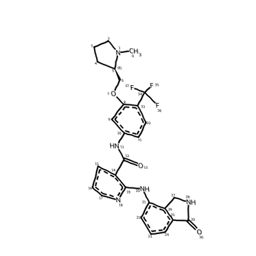 CN1CCC[C@@H]1COc1cc(NC(=O)c2cccnc2Nc2cccc3c2CNC3=O)ccc1C(F)(F)F